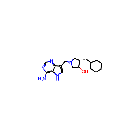 Nc1ncnc2c(CN3C[C@H](CC4CCCCC4)[C@@H](O)C3)c[nH]c12